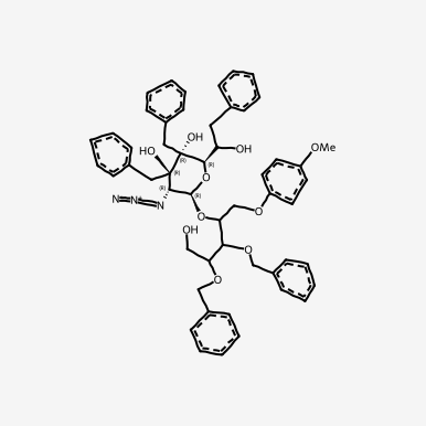 COc1ccc(OCC(O[C@@H]2O[C@H](C(O)Cc3ccccc3)[C@](O)(Cc3ccccc3)[C@@](O)(Cc3ccccc3)[C@H]2N=[N+]=[N-])C(OCc2ccccc2)C(CO)OCc2ccccc2)cc1